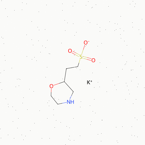 O=S(=O)([O-])CCC1CNCCO1.[K+]